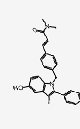 Cc1c(-c2ccc(O)cc2)n(Cc2ccc(/C=C/C(=O)N(C)C)cc2)c2ccc(O)cc12